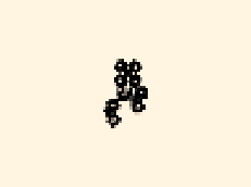 c1ccc(C(c2ccccc2)(c2ccccc2)c2cccc(-c3nc(-c4ccc5sc6ccccc6c5c4)cc(-n4c5ccccc5c5ccccc54)n3)c2)cc1